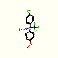 COc1ccc(C(N)(c2ccc(Br)cc2)C(F)(F)F)cc1